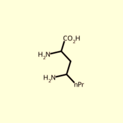 CCCC(N)CC(N)C(=O)O